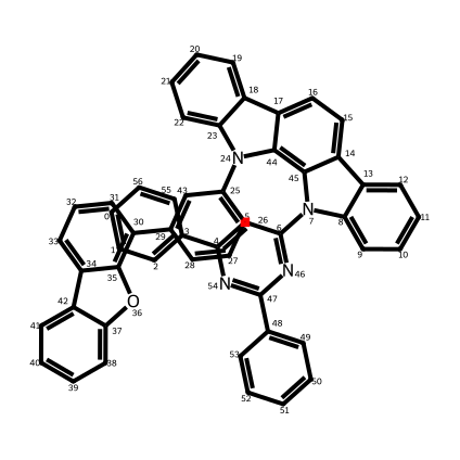 c1ccc(-c2cc(-n3c4ccccc4c4ccc5c6ccccc6n(-c6cccc(-c7cccc8c7oc7ccccc78)c6)c5c43)nc(-c3ccccc3)n2)cc1